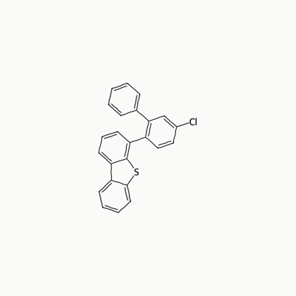 Clc1ccc(-c2cccc3c2sc2ccccc23)c(-c2ccccc2)c1